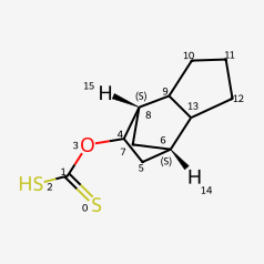 S=C(S)OC1C[C@@H]2C[C@H]1C1CCCC12